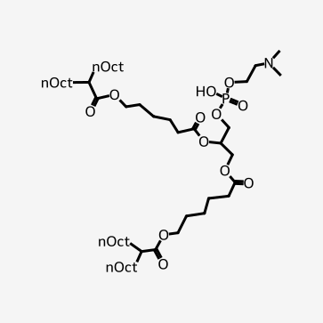 CCCCCCCCC(CCCCCCCC)C(=O)OCCCCCC(=O)OCC(COP(=O)(O)OCCN(C)C)OC(=O)CCCCCOC(=O)C(CCCCCCCC)CCCCCCCC